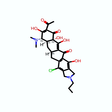 CCCN1Cc2c(O)c3c(c(Cl)c2C1)C[C@H]1C[C@H]2[C@H](N(C)C)C(O)=C(C(C)=O)C(=O)[C@@]2(O)C(O)=C1C3=O